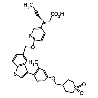 CC#C[C@@H](CC(=O)O)c1ccc(OCc2ccc3scc(-c4ccc(OCC5CCS(=O)(=O)CC5)cc4C)c3c2)nc1